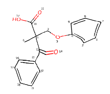 CC(COc1ccccc1)(C(=O)O)C(=O)c1ccccc1